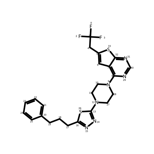 FC(F)(F)Cc1cc2c(N3CCN(c4nnc(CCCc5ccccc5)s4)CC3)ncnc2s1